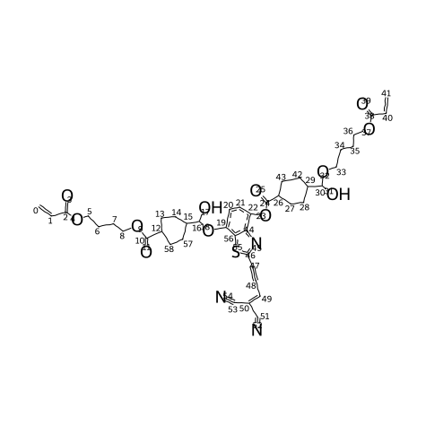 C=CC(=O)OCCCCOC(=O)C1CCC(C(O)Oc2ccc(OC(=O)C3CCC(C(O)OCCCCOC(=O)C=C)CC3)c3nc(C#CC=C(C#N)C#N)sc23)CC1